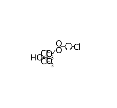 O=C(OCCOC(=O)C(O)(C(F)(F)F)C(F)(F)F)c1ccc(Cl)cc1